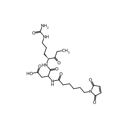 CCC(=O)[C@H](CCCNC(N)=O)NC(=O)C(CC(=O)O)NC(=O)CCCCCN1C(=O)C=CC1=O